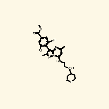 COC(=O)c1cc(Cl)c(-c2c(C)nn3c(NCC[AsH]C4CCOCC4)cc(C)nc23)c(Cl)c1